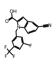 N#Cc1ccc2c(c1)cc(C(=O)O)n2Cc1cc(F)cc(C(F)(F)F)c1